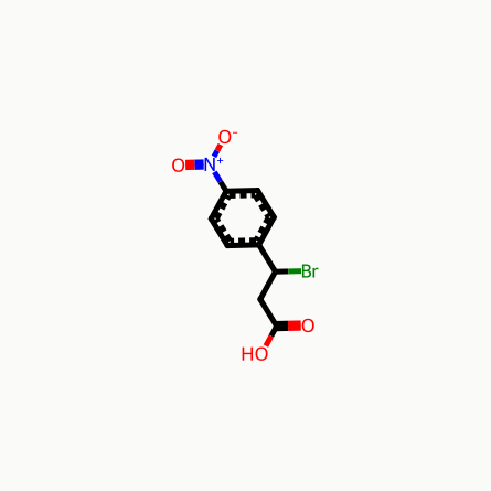 O=C(O)CC(Br)c1ccc([N+](=O)[O-])cc1